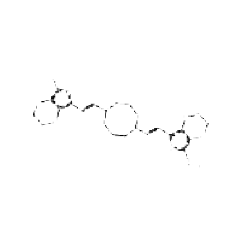 Cc1sc(/C=C/C2CCCC(/C=C/c3sc(C)c4c3OCCO4)CCC2)c2c1OCCO2